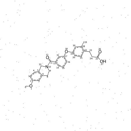 COc1ccc2c(c1)CCN(C(=O)c1cccc(Oc3ccc(CCC(=O)O)c(C)c3)c1)C2